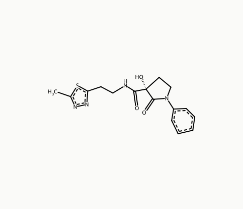 Cc1nnc(CCNC(=O)[C@@]2(O)CCN(c3ccccc3)C2=O)s1